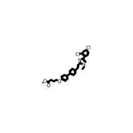 CCn1cc(-c2ccc(Cl)cc2Cl)nc1/C=C/c1ccc(-c2ccc(OCCCC(=O)OC)cc2)cc1